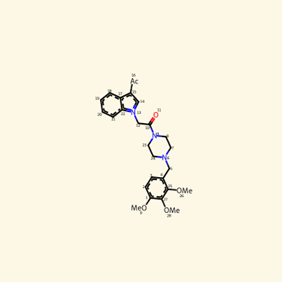 COc1ccc(CN2CCN(C(=O)Cn3cc(C(C)=O)c4ccccc43)CC2)c(OC)c1OC